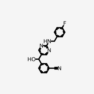 N#Cc1cccc(C(O)c2cnc(NCc3ccc(F)cc3)nc2)c1